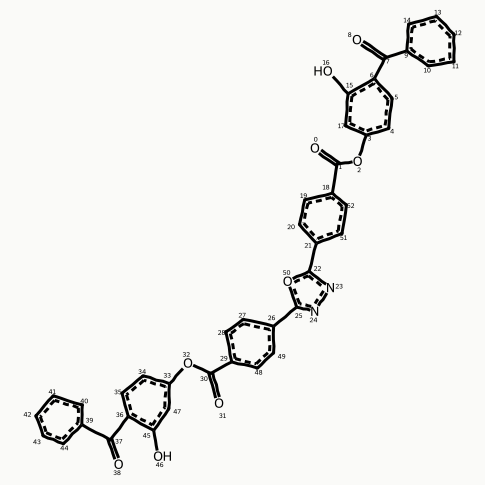 O=C(Oc1ccc(C(=O)c2ccccc2)c(O)c1)c1ccc(-c2nnc(-c3ccc(C(=O)Oc4ccc(C(=O)c5ccccc5)c(O)c4)cc3)o2)cc1